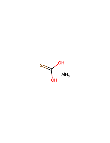 OC(O)=S.[AlH3]